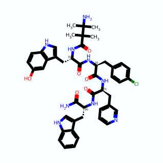 CC(C)(N)C(C)(C)C(=O)N[C@@H](Cc1c[nH]c2ccc(O)cc12)C(=O)N[C@@H](Cc1ccc(Cl)cc1)C(=O)N[C@@H](Cc1cccnc1)C(=O)N[C@H](Cc1c[nH]c2ccccc12)C(N)=O